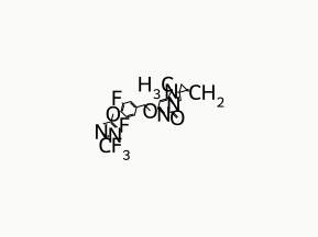 C=C1CC12Cn1c(cc(OCc3cc(F)c(Oc4cnc(C(F)(F)F)nc4)c(F)c3)nc1=O)N2C